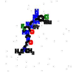 CC(C)n1c(CNc2n[nH]c3cc(Cl)c(C(C)(C)C)cc23)nc(C(F)F)c1C(=O)NC1CN(C(=O)/C=C/CN(C)C)C1